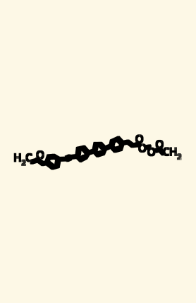 C=CC(=O)Cc1ccc(C#Cc2ccc(-c3ccc(-c4ccc(CCC(=O)OCOC(=O)C=C)cc4)cc3)cc2)cc1